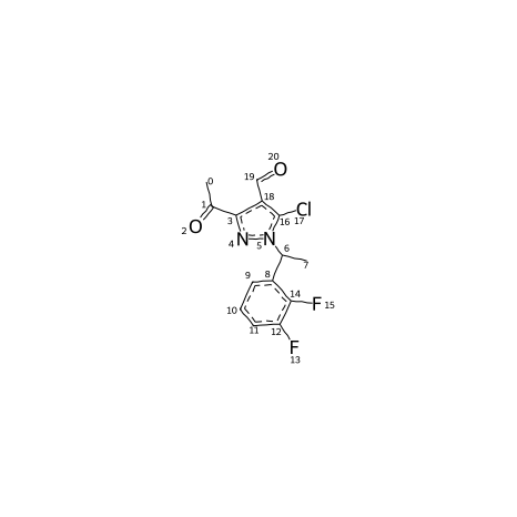 CC(=O)c1nn(C(C)c2cccc(F)c2F)c(Cl)c1C=O